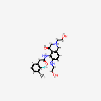 O=C(Cc1cccc(C(F)(F)F)c1F)Nc1c(NCCO)ccc2c1C(=O)CN(CCO)C2